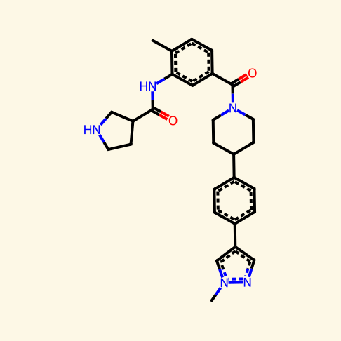 Cc1ccc(C(=O)N2CCC(c3ccc(-c4cnn(C)c4)cc3)CC2)cc1NC(=O)C1CCNC1